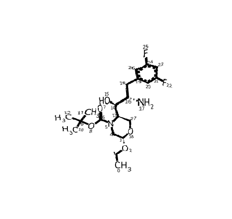 CCO[C@@H]1CN(C(=O)OC(C)(C)C)[C@@H]([C@@H](O)[C@@H](N)Cc2cc(F)cc(F)c2)CO1